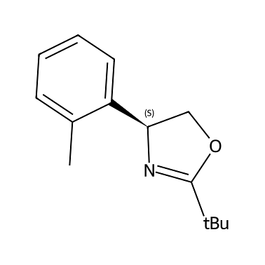 Cc1ccccc1[C@H]1COC(C(C)(C)C)=N1